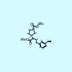 C=Cc1cccc(CCC(C(=O)OC)[C@H]2CCN(C(=O)OC(C)(C)C)C2)c1